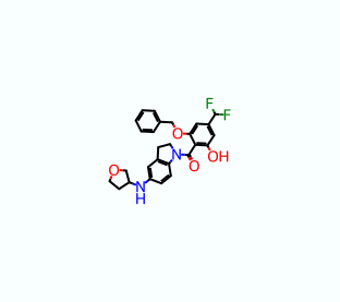 O=C(c1c(O)cc(C(F)F)cc1OCc1ccccc1)N1CCc2cc(NC3CCOC3)ccc21